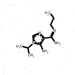 CCC/N=C(/N)c1ncn(C(C)C)c1N